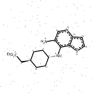 CCOC(=O)C[C@H]1CC[C@H](Nc2c(N)cnc3ccsc23)CC1